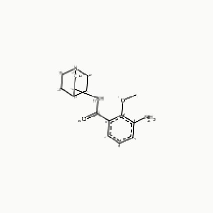 COc1c(N)cccc1C(=O)NC1CN2CCC1CC2